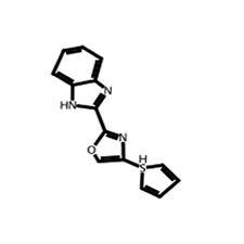 C1=C[SH](c2coc(-c3nc4ccccc4[nH]3)n2)C=C1